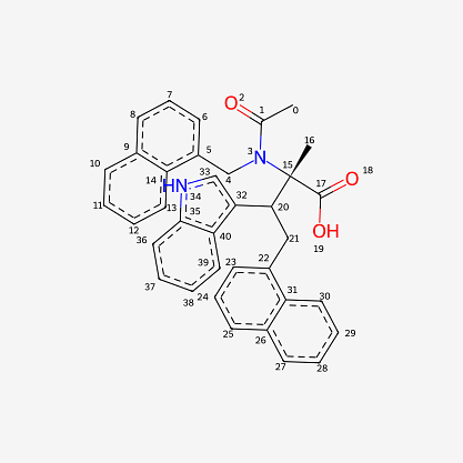 CC(=O)N(Cc1cccc2ccccc12)[C@](C)(C(=O)O)C(Cc1cccc2ccccc12)c1c[nH]c2ccccc12